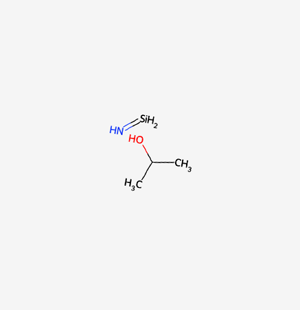 CC(C)O.N=[SiH2]